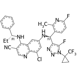 CC[C@@H](Nc1c(C#N)cnc2c(Cl)cc(N[C@@H](c3ccc(F)nc3C)c3nnn(C4(C(F)(F)F)CC4)c3F)cc12)c1ccccc1